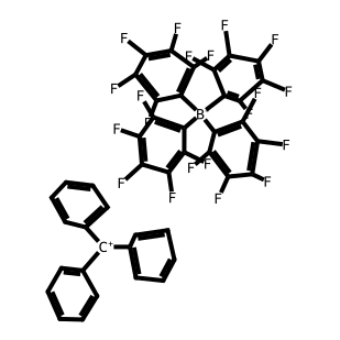 Fc1c(F)c(F)c([B-](c2c(F)c(F)c(F)c(F)c2F)(c2c(F)c(F)c(F)c(F)c2F)c2c(F)c(F)c(F)c(F)c2F)c(F)c1F.c1ccc([C+](c2ccccc2)c2ccccc2)cc1